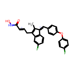 CC1=C(C/C=C/C(=O)NO)c2cc(F)ccc2/C1=C\c1ccc(Oc2ccc(F)cc2)cc1